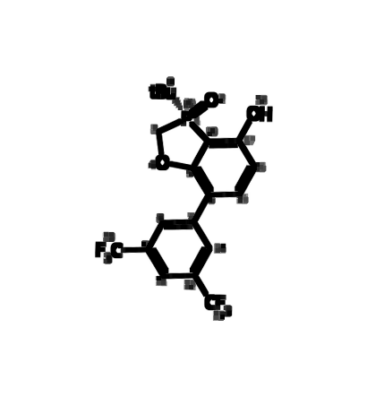 CC(C)(C)[P@@]1(=O)COc2c(-c3cc(C(F)(F)F)cc(C(F)(F)F)c3)ccc(O)c21